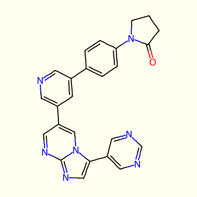 O=C1CCCN1c1ccc(-c2cncc(-c3cnc4ncc(-c5cncnc5)n4c3)c2)cc1